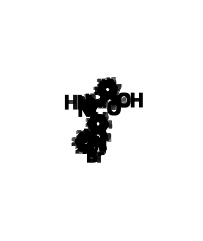 CN(Cc1ccc(-c2n[nH]cc2Cc2ccccc2C(=O)O)cc1)c1ncccc1Br